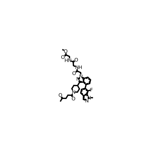 COC(=O)CNC(=O)CNC(=O)Cn1nc(C2CCN(C(=O)CCC(C)=O)CC2)c2c(-c3ccc4cnn(C)c4c3F)cccc21